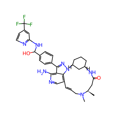 C[C@@H]1CC(=O)N[C@@H]2CCC[C@H](C2)n2nc(-c3ccc(C(O)Nc4cc(C(F)(F)F)ccn4)cc3)c3c(N)ncc(c32)/C=C/CN1C